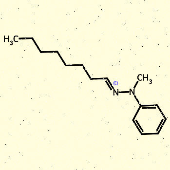 CCCCCCC/C=N/N(C)c1ccccc1